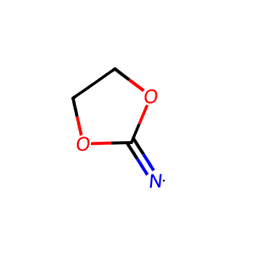 [N]=C1OCCO1